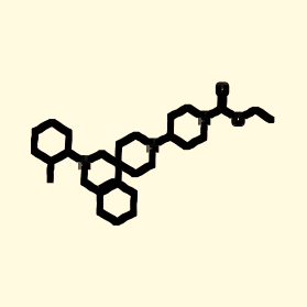 CCOC(=O)N1CCC(N2CCC3(CC2)CN(C2CCCCC2C)CC2=C3CCCC2)CC1